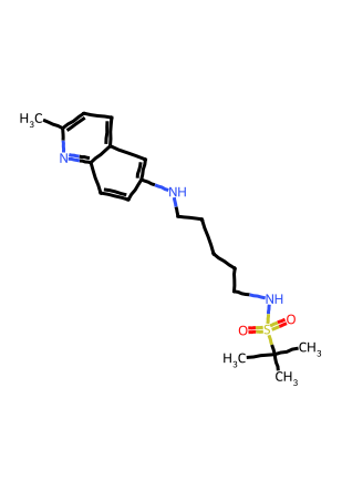 Cc1ccc2cc(NCCCCCNS(=O)(=O)C(C)(C)C)ccc2n1